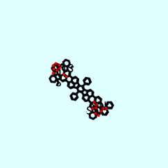 CSC12CCCCC1(C)N(c1ccccc1)c1ccc(-c3ccc4c5c(-c6ccccc6)c6c7ccc(-c8ccc9c(c8)C8(SC)CCCCC8(C)N9c8ccccc8)c8c(-c9ccc%10c(c9)C9(SC)CCCCC9(C)N%10c9ccccc9)ccc(c6c(-c6ccccc6)c5c5ccc(-c6ccc9c(c6)C6(SC)CCCCC6(C)N9c6ccccc6)c3c45)c87)cc12